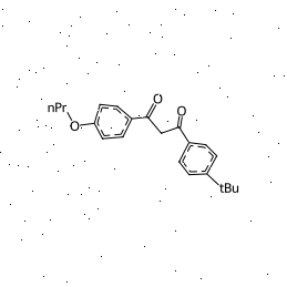 CCCOc1ccc(C(=O)CC(=O)c2ccc(C(C)(C)C)cc2)cc1